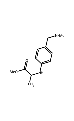 COC(=O)C(C)Nc1ccc(CNC(C)=O)cc1